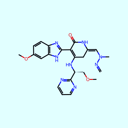 C=NN(C)/C=C1\CC(N[C@H](COC)c2ncccn2)=C(c2nc3ccc(OC)cc3[nH]2)C(=O)N1